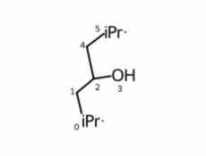 C[C](C)CC(O)C[C](C)C